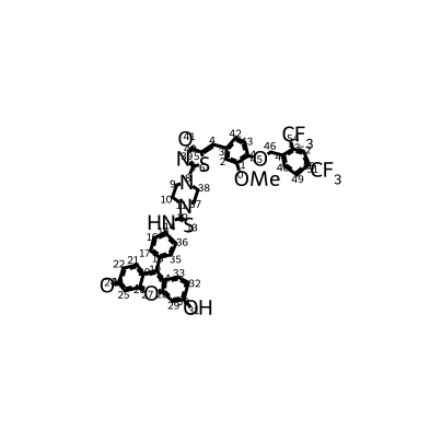 COc1cc(C=C2SC(N3CCN(C(=S)Nc4ccc(-c5c6ccc(=O)cc-6oc6cc(O)ccc56)cc4)CC3)=NC2=O)ccc1OCc1ccc(C(F)(F)F)cc1C(F)(F)F